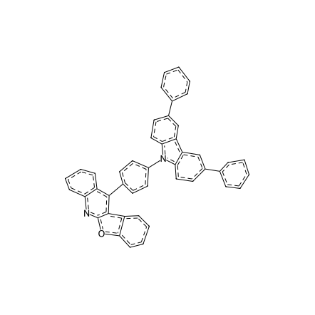 c1ccc(-c2ccc3c(c2)c2cc(-c4ccccc4)ccc2n3-c2ccc(-c3c4ccccc4nc4oc5ccccc5c34)cc2)cc1